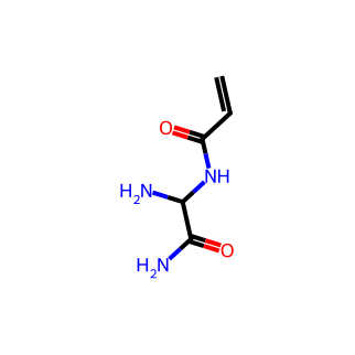 C=CC(=O)NC(N)C(N)=O